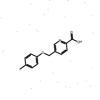 O=C(O)c1ccc(COc2ccc(I)cc2)cn1